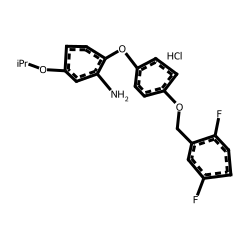 CC(C)Oc1ccc(Oc2ccc(OCc3cc(F)ccc3F)cc2)c(N)c1.Cl